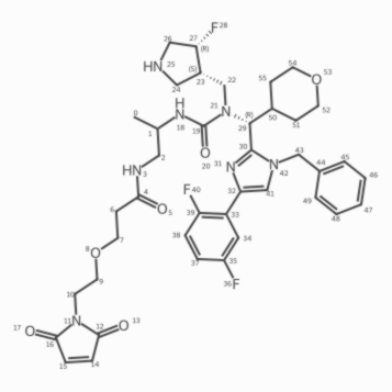 CC(CNC(=O)CCOCCN1C(=O)C=CC1=O)NC(=O)N(C[C@@H]1CNC[C@@H]1F)[C@@H](c1nc(-c2cc(F)ccc2F)cn1Cc1ccccc1)C1CCOCC1